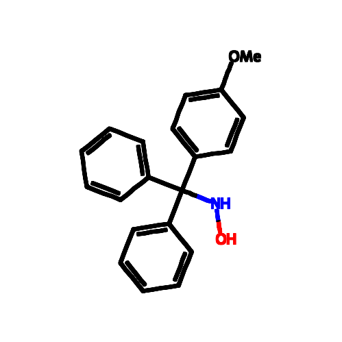 COc1ccc(C(NO)(c2ccccc2)c2ccccc2)cc1